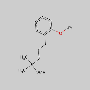 CO[Si](C)(C)CCCc1ccccc1OC(C)C